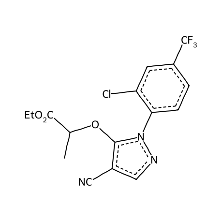 CCOC(=O)C(C)Oc1c(C#N)cnn1-c1ccc(C(F)(F)F)cc1Cl